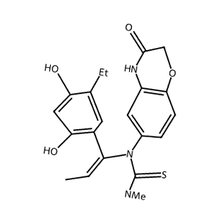 C/C=C(\c1cc(CC)c(O)cc1O)N(C(=S)NC)c1ccc2c(c1)NC(=O)CO2